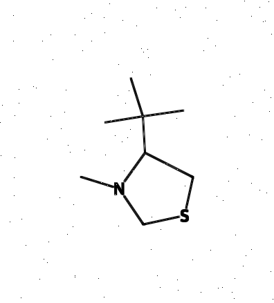 CN1CSCC1C(C)(C)C